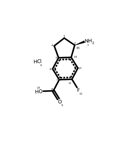 Cl.N[C@@H]1CCc2cc(C(=O)O)c(F)cc21